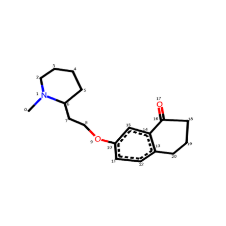 CN1CCCCC1CCOc1ccc2c(c1)C(=O)CCC2